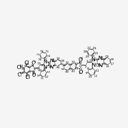 O=C1/C(=C/C=C2N(c3ccccc3)c3nc4ccccc4nc3N2c2ccccc2)C(=O)c2cc3cc(-c4ccc5nc6c(nc5c4)N(c4ccccc4)/C(=C\C=C4C(=O)c5c(Cl)c(Cl)c(Cl)c(Cl)c5C4=O)N6c4ccccc4)ccc3cc21